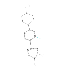 CCCC1CCC(c2ccc(-c3ccc(C)c(C)c3)c(F)c2)CC1